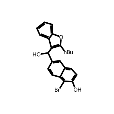 CCCCc1oc2ccccc2c1C(O)c1ccc2c(Br)c(O)ccc2c1